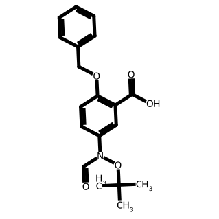 CC(C)(C)ON(C=O)c1ccc(OCc2ccccc2)c(C(=O)O)c1